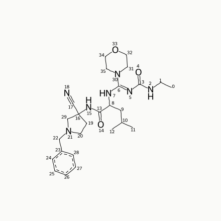 CCNC(=O)N=C(NC(CC(C)C)C(=O)NC1(C#N)CCN(Cc2ccccc2)C1)N1CCOCC1